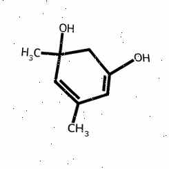 CC1=CC(C)(O)CC(O)=C1